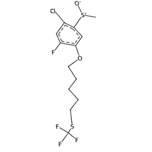 C[S+]([O-])c1cc(OCCCCCSC(F)(F)F)c(F)cc1Cl